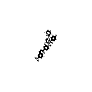 CCC(Oc1cc(-c2ccc3cc(N(C)C)ccc3n2)ccc1NC)OS(=O)(=O)c1ccc(C)cc1OC1CCCCO1